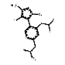 CCn1nc(C(=O)O)c(Cl)c1-c1cnc(CC(C)C(F)(F)F)cc1OC(F)F